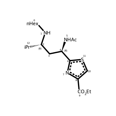 CCCCCCN[C@H](C[C@@H](NC(C)=O)c1nc(C(=O)OCC)cs1)C(C)C